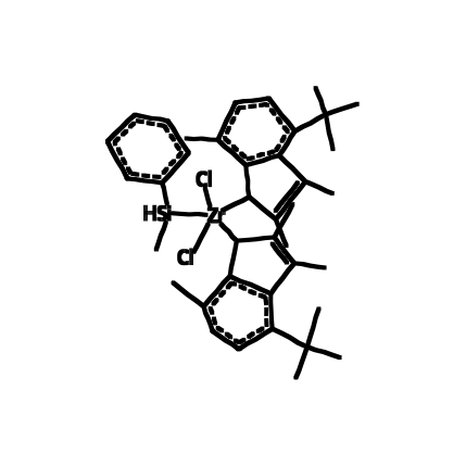 CC1=C(C)[CH]([Zr]([Cl])([Cl])([CH]2C(C)=C(C)c3c(C(C)(C)C)ccc(C)c32)[SiH](C)c2ccccc2)c2c(C)ccc(C(C)(C)C)c21